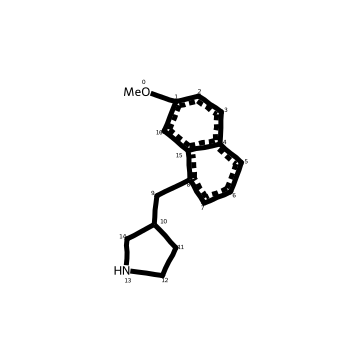 COc1ccc2cccc(CC3CCNC3)c2c1